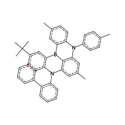 Cc1ccc(N2c3ccc(C)cc3B3c4cc(C(C)(C)C)ccc4N(c4ccccc4-c4ccccc4)c4cc(C)cc2c43)cc1